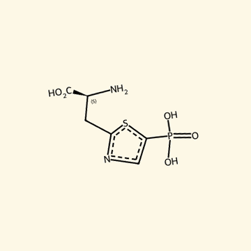 N[C@@H](Cc1ncc(P(=O)(O)O)s1)C(=O)O